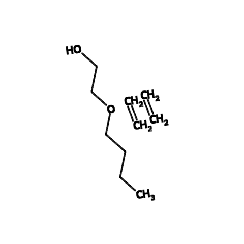 C=C.C=C.CCCCOCCO